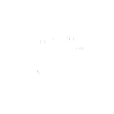 CN(C)C1CCc2c(ccc(O)c2C(N)=O)C1.Cl